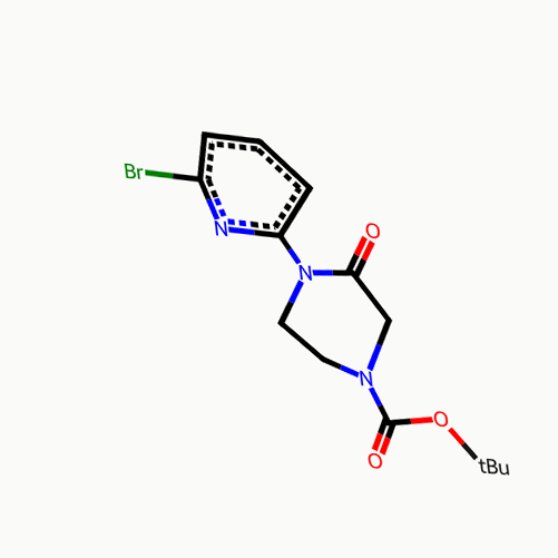 CC(C)(C)OC(=O)N1CCN(c2cccc(Br)n2)C(=O)C1